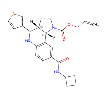 C=CCOC(=O)N1CC[C@H]2C(c3ccsc3)Nc3ccc(C(=O)NC4CCC4)cc3[C@H]21